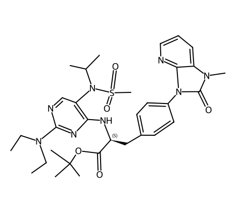 CCN(CC)c1ncc(N(C(C)C)S(C)(=O)=O)c(N[C@@H](Cc2ccc(-n3c(=O)n(C)c4cccnc43)cc2)C(=O)OC(C)(C)C)n1